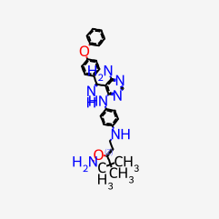 CC(C)(C)/C(=C/CNc1ccc(Nc2ncnc(N)c2C(=N)c2ccc(Oc3ccccc3)cc2)cc1)ON